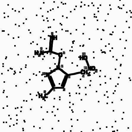 Cc1cc(C)n(OC(=N)N)n1.O=[N+]([O-])O